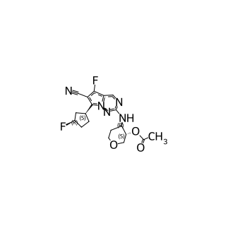 CC(=O)O[C@@H]1COCC[C@H]1Nc1ncc2c(F)c(C#N)c([C@H]3CC[C@@H](F)C3)n2n1